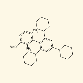 COc1ccc(C)c(-c2c(C3CCCCC3)cc(C3CCCCC3)cc2C2CCCCC2)c1P